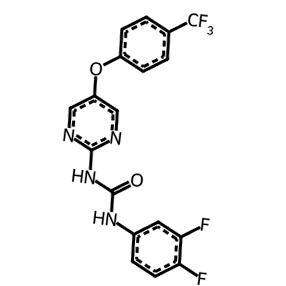 O=C(Nc1ccc(F)c(F)c1)Nc1ncc(Oc2ccc(C(F)(F)F)cc2)cn1